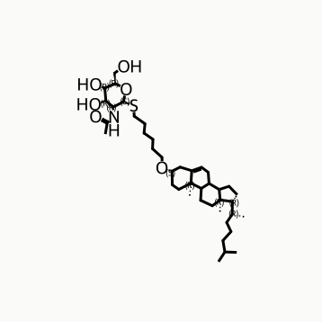 CC(=O)N[C@@H]1[C@@H](O)[C@@H](O)[C@@H](CO)O[C@H]1SCCCCCCO[C@H]1CC[C@@]2(C)C(=CCC3C2CC[C@@]2(C)C3CC[C@@H]2[C@H](C)CCCC(C)C)C1